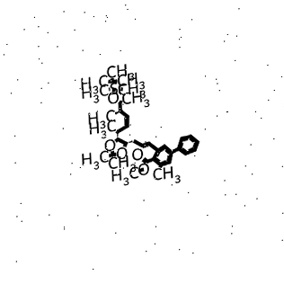 COC(=O)c1c(C)cc(-c2ccccc2)cc1/C=C/C[C@@H]1OC(C)(C)O[C@@H]1C(C)/C=C\[C@@H](C)[C@H](C)O[Si](C)(C)C(C)(C)C